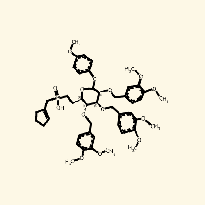 COc1ccc(OC2O[C@H](CCP(=O)(O)CC3=CCCC3)[C@@H](OCc3ccc(OC)c(OC)c3)[C@H](OCc3ccc(OC)c(OC)c3)[C@@H]2OCc2ccc(OC)c(OC)c2)cc1